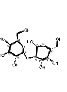 OC[C@H]1O[C@@H](O[C@@H]2[C@@H](O)[C@H](O)[C@@H](CO)O[C@H]2O)[C@H](O)[C@@H](O)[C@H]1O